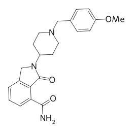 COc1ccc(CN2CCC(N3Cc4cccc(C(N)=O)c4C3=O)CC2)cc1